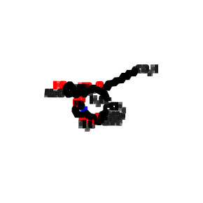 CO[C@H]1C[C@@H](C)C/C(C)=C/[C@@H](C/C=C/CCCCCCCCC(=O)O)C(=O)C[C@H](O)[C@@H](C)[C@@H](/C(C)=C/[C@@H]2CC[C@@H](O)[C@H](OC)C2)OC(=O)[C@@H]2CCCCN2C(=O)C(=O)[C@]2(O)O[C@H]1[C@@H](OC)C[C@H]2C